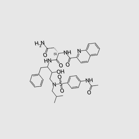 CC(=O)Nc1ccc(S(=O)(=O)N(CC(C)C)CC(O)C(Cc2ccccc2)NC(=O)[C@H](CC(N)=O)NC(=O)c2ccc3ccccc3n2)cc1